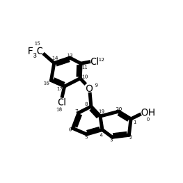 Oc1ccc2cccc(Oc3c(Cl)cc(C(F)(F)F)cc3Cl)c2c1